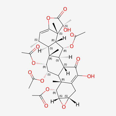 CC(=O)O[C@@H]1[C@H]2[C@@H]3C(=O)C(O)=C4C[C@@H]5O[C@@H]5[C@H](OC(C)=O)[C@]4(C)C3[C@H](OC(C)=O)[C@H](OC(C)=O)[C@]2(C)[C@@H]2[C@@H]1[C@]1(C)C(=C[C@H]2C)OC(=O)[C@@]1(C)O